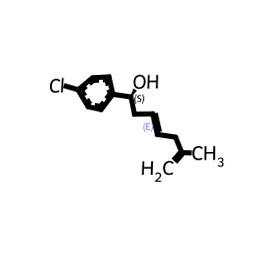 C=C(C)C/C=C/C[C@H](O)c1ccc(Cl)cc1